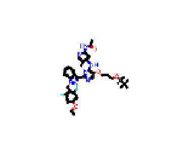 CCOc1cc(F)c(Cn2nc(-c3ncc(OCCCO[Si](C)(C)C(C)(C)C)c(Nc4cc(NC(C)=O)ncc4C)n3)c3ccccc32)c(F)c1